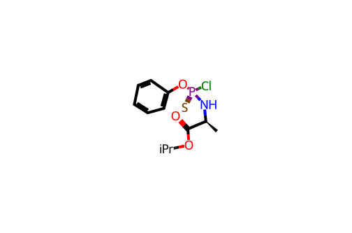 CC(C)OC(=O)[C@H](C)NP(=S)(Cl)Oc1ccccc1